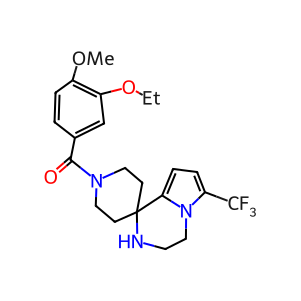 CCOc1cc(C(=O)N2CCC3(CC2)NCCn2c(C(F)(F)F)ccc23)ccc1OC